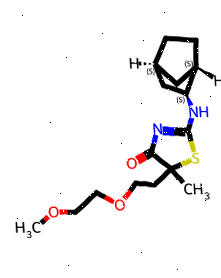 COCCOCCC1(C)SC(N[C@H]2C[C@H]3CC[C@H]2C3)=NC1=O